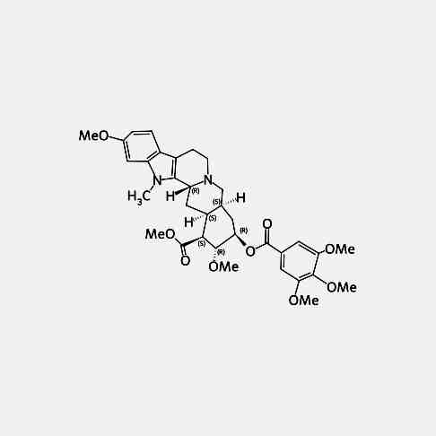 COC(=O)[C@H]1[C@H]2C[C@@H]3c4c(c5ccc(OC)cc5n4C)CCN3C[C@H]2C[C@@H](OC(=O)c2cc(OC)c(OC)c(OC)c2)[C@@H]1OC